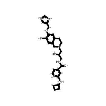 O=C(NCC(O)CN1CCc2cc(OCc3cnco3)c(F)cc2C1)c1ccnc(NC2CCC2)c1